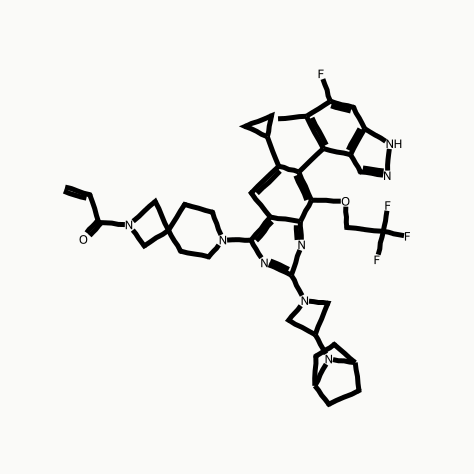 C=CC(=O)N1CC2(CCN(c3nc(N4CC(N5C6CCC5CC6)C4)nc4c(OCC(F)(F)F)c(-c5c(C)c(F)cc6[nH]ncc56)c(C5CC5)cc34)CC2)C1